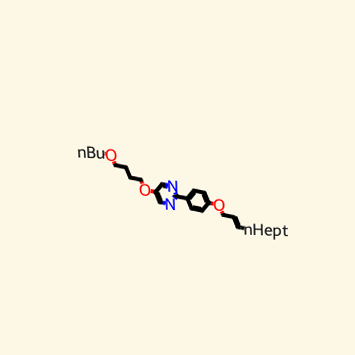 CCCCCCC/C=C/COc1ccc(-c2ncc(OCCCCOCCCC)cn2)cc1